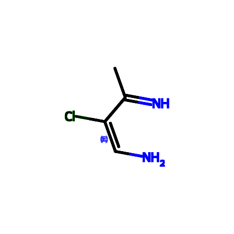 CC(=N)/C(Cl)=C\N